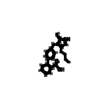 CCCCc1n[nH]c(=S)n1Cc1ccc(-c2ccccc2C(=O)O)cc1